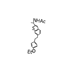 CCOc1ccc(CCc2ccc3cc(C(C)NC(C)=O)sc3c2)cc1